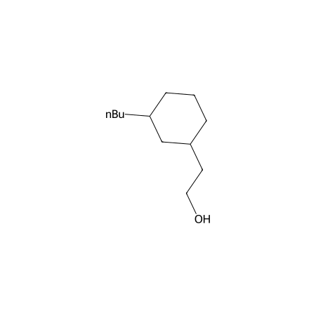 [CH2]CCCC1CCCC(CCO)C1